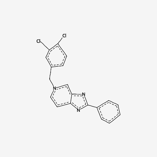 Clc1ccc(Cn2ccc3nc(-c4ccccc4)nc-3c2)cc1Cl